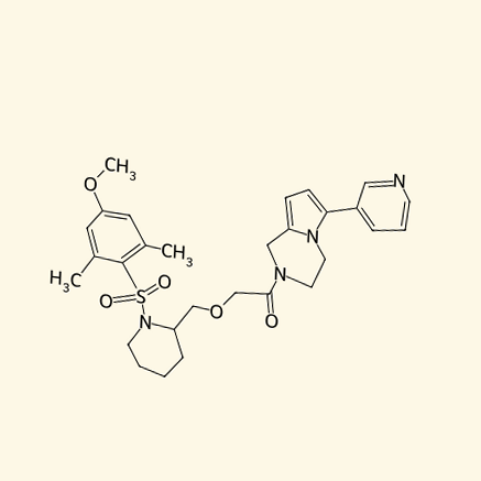 COc1cc(C)c(S(=O)(=O)N2CCCCC2COCC(=O)N2CCn3c(ccc3-c3cccnc3)C2)c(C)c1